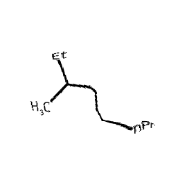 CC[CH]CCC(C)CC